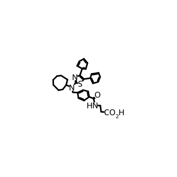 O=C(O)CCNC(=O)c1ccc(CN(c2nc(-c3ccccc3)c(-c3ccccc3)s2)C2CCCCCCC2)cc1